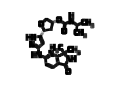 CC(C)NC(=O)O[C@H]1CO[C@@H](c2cc(Nc3ccc4c(n3)C(C)(C)NC4=O)n[nH]2)C1